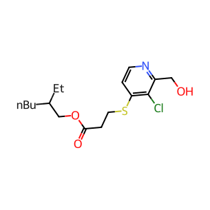 CCCCC(CC)COC(=O)CCSc1ccnc(CO)c1Cl